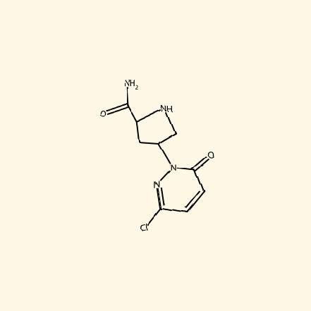 NC(=O)C1CC(n2nc(Cl)ccc2=O)CN1